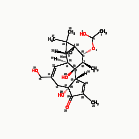 CC(=O)O[C@@]12[C@H](OC(C)O)[C@@H](C)[C@@]3(O)[C@@H](C=C(CO)C[C@]4(O)C(=O)C(C)=C[C@@H]34)[C@@H]1C2(C)C